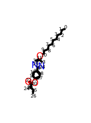 CCCCCCCCCCCOc1cnc(-c2ccc(OC(=O)[C@@H](C)CC)cc2)nc1